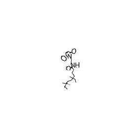 CCC(C)(C)CCC(C)(CC)CCCC(=O)NCCN1C(=O)C=CC1=O